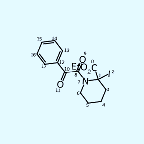 CCOC(=O)C1(I)CCCCN1C(=O)C(=O)c1ccccc1